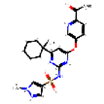 CNC(=O)c1ccc(Oc2cc(C3(C)CCCCC3)nc(NS(=O)(=O)c3cnn(C)c3)n2)cn1